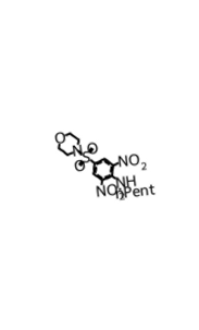 CCCCCNc1c([N+](=O)[O-])cc(S(=O)(=O)N2CCOCC2)cc1[N+](=O)[O-]